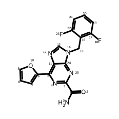 NC(=O)c1nc(-c2ccco2)c2ncn(Cc3c(F)cccc3F)c2n1